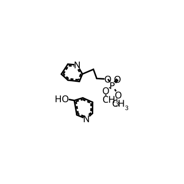 COP(=O)(OC)OCCc1ccccn1.Oc1cccnc1